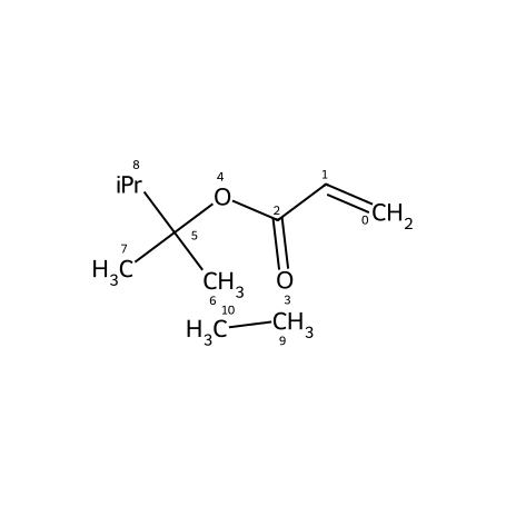 C=CC(=O)OC(C)(C)C(C)C.CC